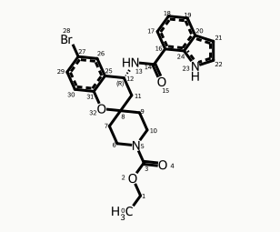 CCOC(=O)N1CCC2(CC1)C[C@@H](NC(=O)c1cccc3cc[nH]c13)c1cc(Br)ccc1O2